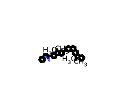 CC1(C)c2cc(-c3ccc4ccc5cc6c(cc5c4c3)C(C)(C)c3ccccc3-6)ccc2-c2ccc(-c3ccc4ccccc4n3)cc21